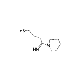 N=C(CCCS)N1CCCCC1